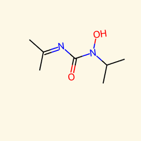 CC(C)=NC(=O)N(O)C(C)C